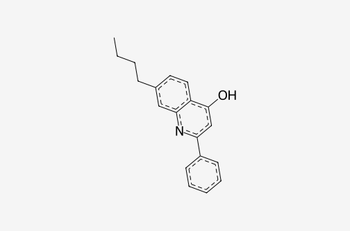 CCCCc1ccc2c(O)cc(-c3ccccc3)nc2c1